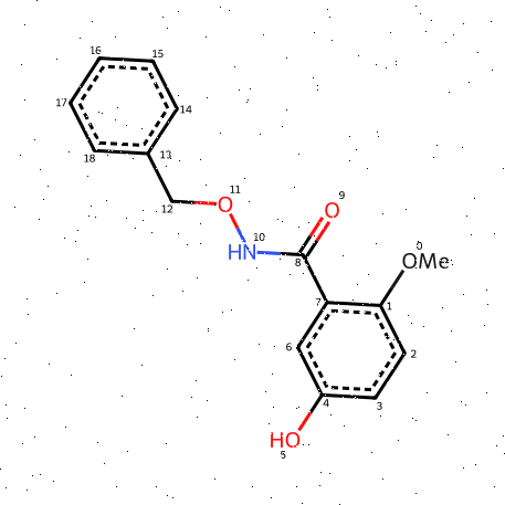 COc1ccc(O)cc1C(=O)NOCc1ccccc1